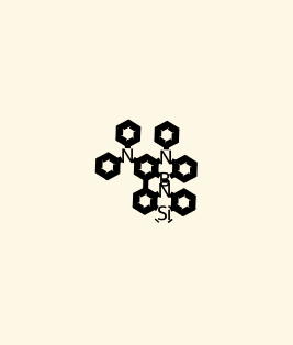 C[Si]1(C)c2ccccc2N2B3c4ccccc4N(c4ccccc4)c4cc(N(c5ccccc5)c5ccccc5)cc(c43)-c3cccc1c32